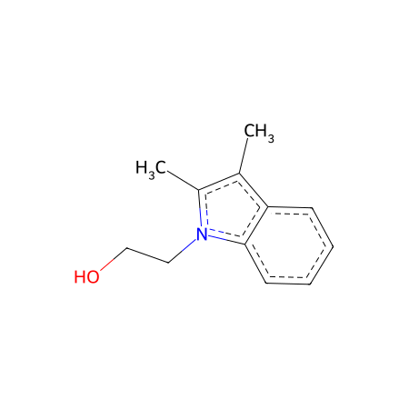 Cc1c(C)n(CCO)c2ccccc12